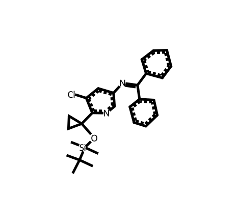 CC(C)(C)[Si](C)(C)OC1(c2ncc(N=C(c3ccccc3)c3ccccc3)cc2Cl)CC1